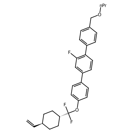 C=C[C@H]1CC[C@H](C(F)(F)Oc2ccc(-c3ccc(-c4ccc(COCCC)cc4)c(F)c3)cc2)CC1